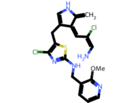 C=c1[nH]cc(Cc2sc(NCc3cccnc3OC)nc2Cl)/c1=C/C(Cl)=C\N